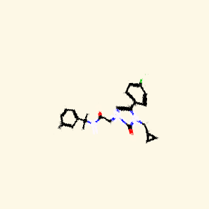 CC(C)(NC(=O)Cn1cc(-c2ccc(Cl)cc2)n(CC2CC2)c1=O)c1cccc(C(F)(F)F)c1